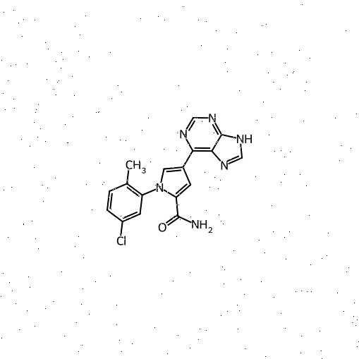 Cc1ccc(Cl)cc1-n1cc(-c2ncnc3[nH]cnc23)cc1C(N)=O